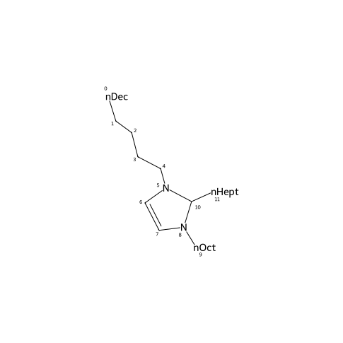 CCCCCCCCCCCCCCN1C=CN(CCCCCCCC)C1CCCCCCC